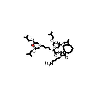 CC(C)COC(=O)CN(CCCC[C@@H](C(=O)N[C@@H](CCCCN)C(=O)C1CCCCCCCC1)N(CC(=O)OCC(C)C)CC(=O)OCC(C)C)CC(=O)OCC(C)C